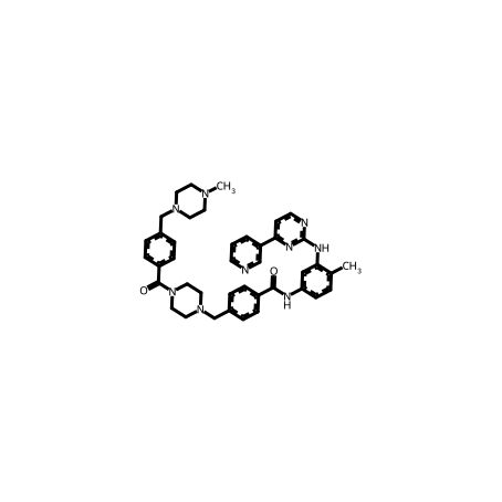 Cc1ccc(NC(=O)c2ccc(CN3CCN(C(=O)c4ccc(CN5CCN(C)CC5)cc4)CC3)cc2)cc1Nc1nccc(-c2cccnc2)n1